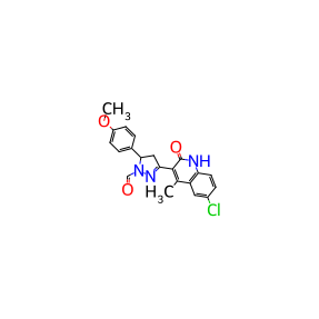 COc1ccc(C2CC(c3c(C)c4cc(Cl)ccc4[nH]c3=O)=NN2C=O)cc1